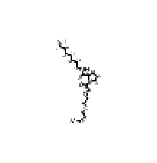 COCCOCCOCC(=O)N1CCCC1C(=O)NCCCCCCCN